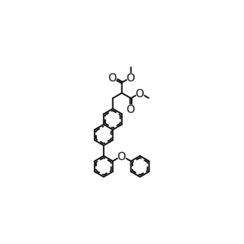 COC(=O)C(Cc1ccc2cc(-c3ccccc3Oc3ccccc3)ccc2c1)C(=O)OC